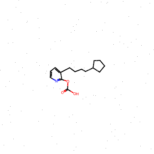 O=C(O)Oc1ncccc1CCCCC1CCCC1